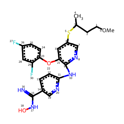 COCCC(C)Sc1cnc(Nc2ccc(C(=N)NO)cn2)c(Oc2ccc(F)cc2F)c1